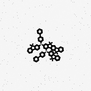 CC1(C)c2ccccc2-c2ccc(N(c3ccc(-c4ccccc4)cc3)c3cc(N(c4ccc(-c5ccccc5)cc4)c4ccc5c(c4)C(C)(C)c4ccccc4-5)c4c(c3)C(C)(C)c3cc5c(cc3-4)C(C)(C)c3ccccc3-5)cc21